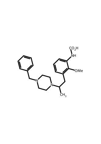 COc1c(CC(C)N2CCN(Cc3ccccc3)CC2)cccc1NC(=O)O